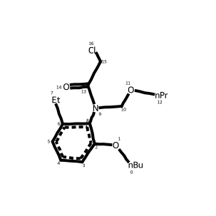 CCCCOc1cccc(CC)c1N(COCCC)C(=O)CCl